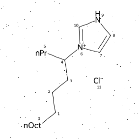 CCCCCCCCCCCC(CCC)[n+]1cc[nH]c1.[Cl-]